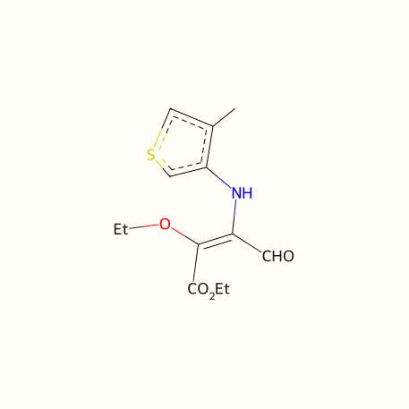 CCOC(=O)C(OCC)=C(C=O)Nc1cscc1C